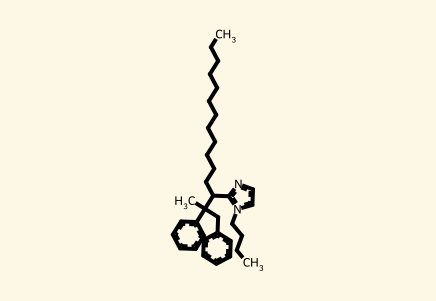 CCCCCCCCCCCCC(c1nccn1CCCC)C(C)(Cc1ccccc1)c1ccccc1